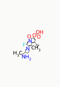 Cc1c(N2CCC(C(C)N)C2)c(F)cn2c(=O)c(OC(=O)O)cc(C3CC3)c12